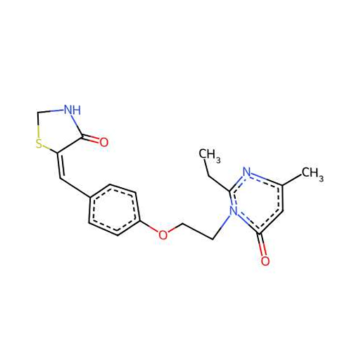 CCc1nc(C)cc(=O)n1CCOc1ccc(C=C2SCNC2=O)cc1